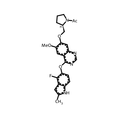 COc1cc2c(Oc3ccc4[nH]c(C)cc4c3F)ncnc2cc1OC[C@H]1CCCN1C(C)=O